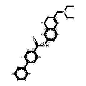 CCN(CC)CC1=Cc2ccc(NC(=O)c3ccc(-c4ccccc4)cc3)cc2CC1